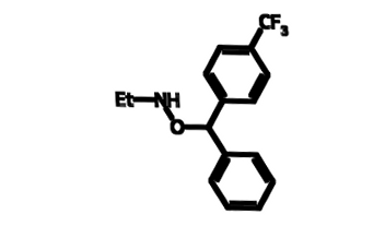 CCNOC(c1ccccc1)c1ccc(C(F)(F)F)cc1